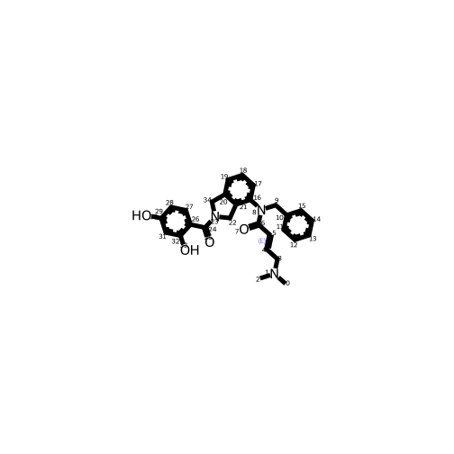 CN(C)C/C=C/C(=O)N(Cc1ccccc1)c1cccc2c1CN(C(=O)c1ccc(O)cc1O)C2